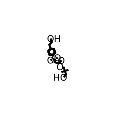 CC(C)(CO)COC(=O)CS(=O)(=O)c1ccc(CCO)cc1